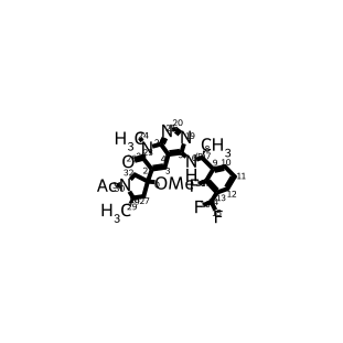 COC1(c2cc3c(N[C@H](C)c4cccc(C(F)F)c4F)ncnc3n(C)c2=O)C[C@@H](C)N(C(C)=O)C1